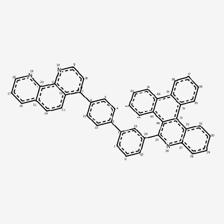 c1cc(-c2ccc(-c3ccnc4c3ccc3cccnc34)cc2)cc(-c2nc3ccccc3c3c4ccccc4c4ccccc4c23)c1